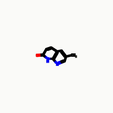 Cc1cnc2[nH]c(=O)ccc2c1